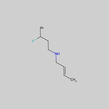 C/C=C/CNCCC(F)C(C)C